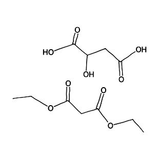 CCOC(=O)CC(=O)OCC.O=C(O)CC(O)C(=O)O